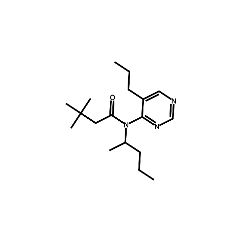 CCCc1cncnc1N(C(=O)CC(C)(C)C)C(C)CCC